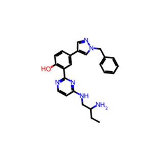 CCC(N)CNc1ccnc(-c2cc(-c3cnn(Cc4ccccc4)c3)ccc2O)n1